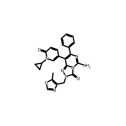 Cc1ocnc1Cn1nc2c(-c3ccc(=O)n(C4CC4)c3)c(-c3ccccc3)nc(N)n2c1=O